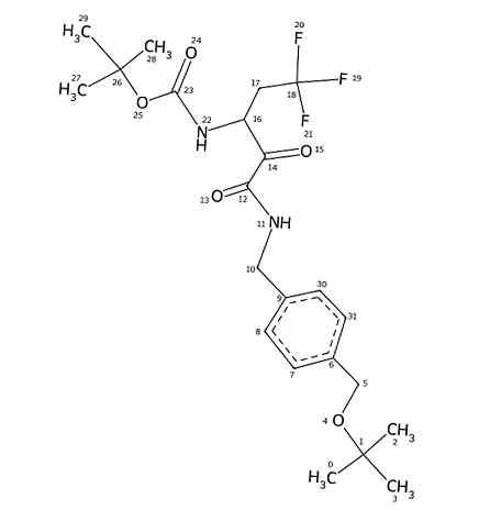 CC(C)(C)OCc1ccc(CNC(=O)C(=O)C(CC(F)(F)F)NC(=O)OC(C)(C)C)cc1